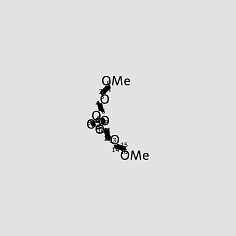 COCCOCCOS(=O)(=O)OCCOCCOC